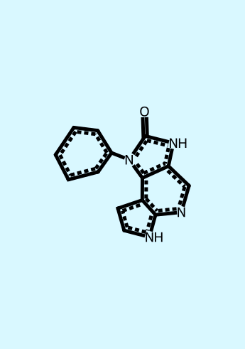 O=c1[nH]c2cnc3[nH]ccc3c2n1-c1ccccc1